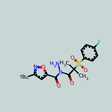 CC(C)(C)c1cc(C(=O)N(N)C(=O)C(C)(C)S(=O)(=O)c2ccc(F)cc2)on1